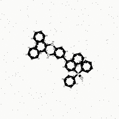 O=P(c1ccccc1)(c1ccccc1)c1ccc(-c2ccc3c(c2)Oc2c(c4ccccc4c4ccccc24)O3)c2ccccc12